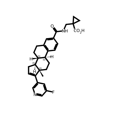 C[C@]12CC[C@@H]3c4ccc(C(=O)NCC5(C(=O)O)CC5)cc4CC[C@H]3[C@@H]1CC=C2c1cncc(F)c1